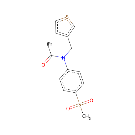 CC(C)C(=O)N(Cc1ccsc1)c1ccc(S(C)(=O)=O)cc1